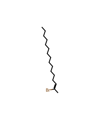 CCCCCCCCCCCCCC=C(C)Br